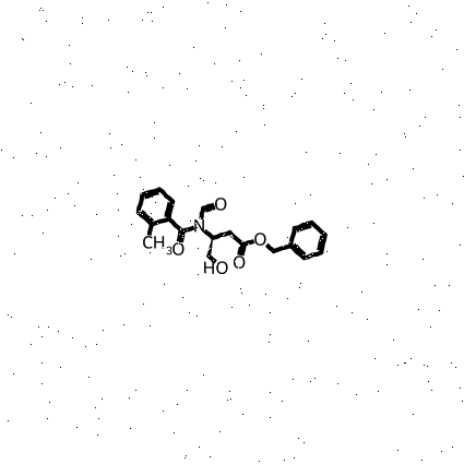 Cc1ccccc1C(=O)N(C=O)[C@H](CO)CC(=O)OCc1ccccc1